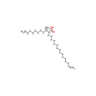 CCCCCCCCCCCCCCCCC(C(=O)O)C(C)CCCCCCCC